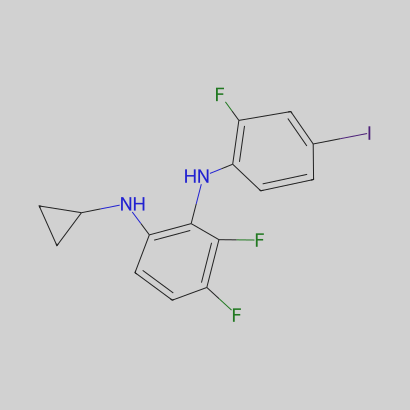 Fc1cc(I)ccc1Nc1c(NC2CC2)ccc(F)c1F